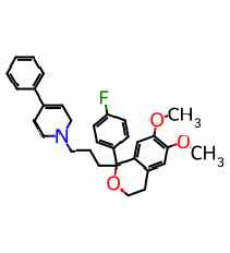 COc1cc2c(cc1OC)C(CCCN1CC=C(c3ccccc3)CC1)(c1ccc(F)cc1)OCC2